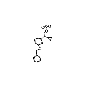 CS(=O)(=O)OCC(c1cccc(OCc2ccccc2)c1)C1CC1